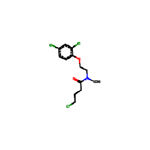 CCCCCCCCN(CCOc1ccc(Cl)cc1Cl)C(=O)CCCCl